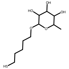 CC1OC(OCCCCCS)C(O)C(O)C1O